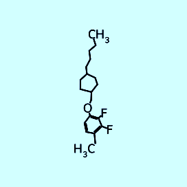 CCCCCC1CCC(COc2ccc(CC)c(F)c2F)CC1